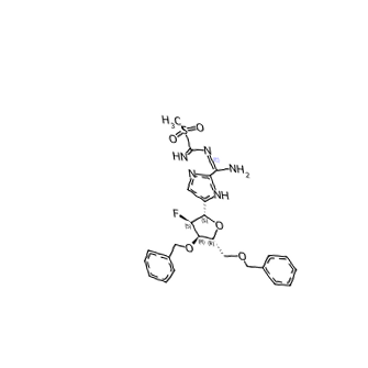 CS(=O)(=O)C(=N)/N=C(/N)c1ncc([C@@H]2O[C@H](COCc3ccccc3)[C@@H](OCc3ccccc3)[C@H]2F)[nH]1